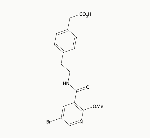 COc1ncc(Br)cc1C(=O)NCCc1ccc(CC(=O)O)cc1